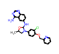 CC1CN(c2ccc(OCc3ccccn3)c(Cl)c2)C(Nc2ccc3ncnc(N)c3c2)O1